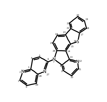 c1cnc2ccc(-n3c4cccnc4c4c5sc6ccccc6c5ccc43)nc2c1